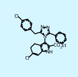 CCOC(=O)c1[nH]c2c(c1-n1c(Cc3ccc(Cl)cc3)nnc1-c1ccccc1)CCC(Cl)=C2